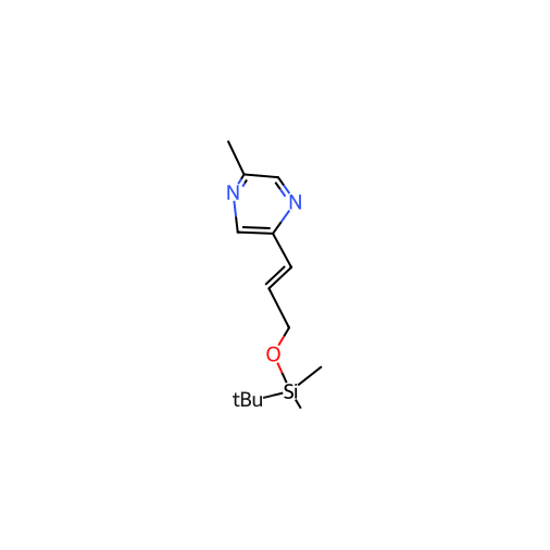 Cc1cnc(/C=C/CO[Si](C)(C)C(C)(C)C)cn1